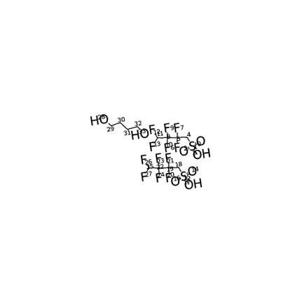 O=S(=O)(O)CC(F)(F)C(F)(F)C(F)F.O=S(=O)(O)CC(F)(F)C(F)(F)C(F)F.OCCCCO